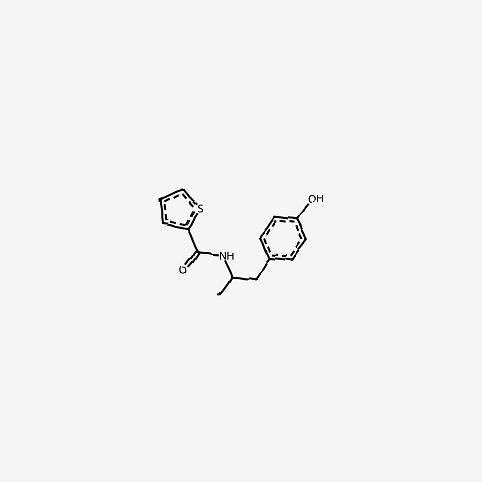 CC(Cc1ccc(O)cc1)NC(=O)c1cccs1